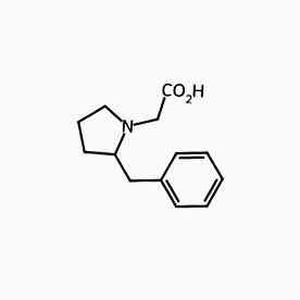 O=C(O)CN1CCCC1Cc1ccccc1